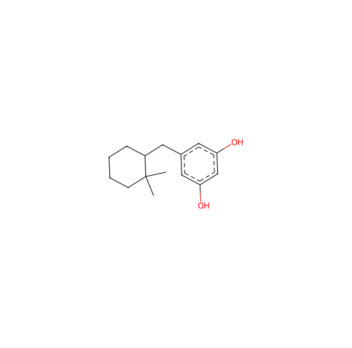 CC1(C)CCCCC1Cc1cc(O)cc(O)c1